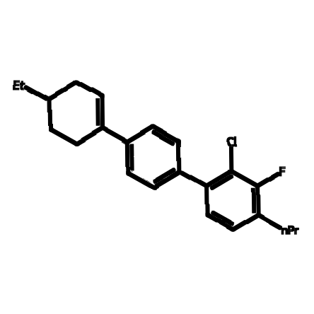 CCCc1ccc(-c2ccc(C3=CCC(CC)CC3)cc2)c(Cl)c1F